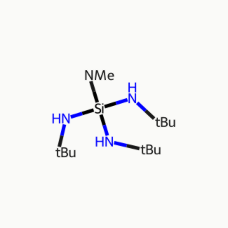 CN[Si](NC(C)(C)C)(NC(C)(C)C)NC(C)(C)C